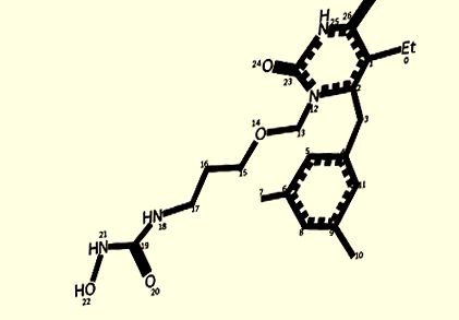 CCc1c(Cc2cc(C)cc(C)c2)n(COCCCNC(=O)NO)c(=O)[nH]c1=O